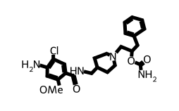 COc1cc(N)c(Cl)cc1C(=O)NCC1CCN(CC(Cc2ccccc2)OC(N)=O)CC1